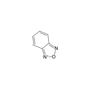 [c]1cccc2c1=[N+]ON=2